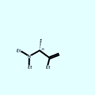 C=C(CC)[C@@H](C)N(CC)CC